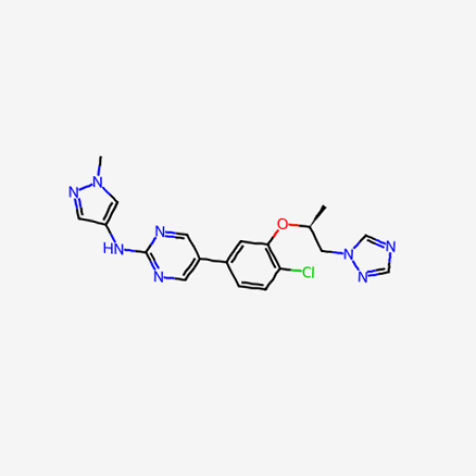 C[C@@H](Cn1cncn1)Oc1cc(-c2cnc(Nc3cnn(C)c3)nc2)ccc1Cl